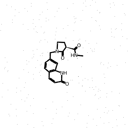 CNC(=O)[C@@H]1CCN(Cc2ccc3ccc(=O)[nH]c3c2)C1=O